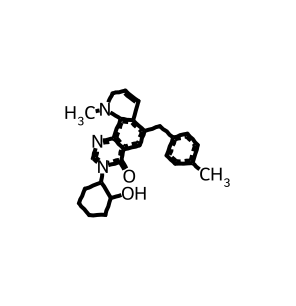 Cc1ccc(Cc2cc3c(=O)n(C4CCCCC4O)cnc3c3c2C=CCN3C)cc1